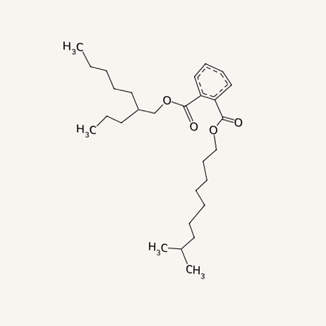 CCCCCC(CCC)COC(=O)c1ccccc1C(=O)OCCCCCCCC(C)C